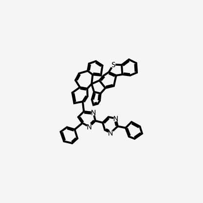 C1=Cc2ccc(-c3cc(-c4ccccc4)nc(-c4cnc(-c5ccccc5)nc4)n3)cc2C2(c3ccccc31)c1ccccc1-c1cc3c(cc12)sc1ccccc13